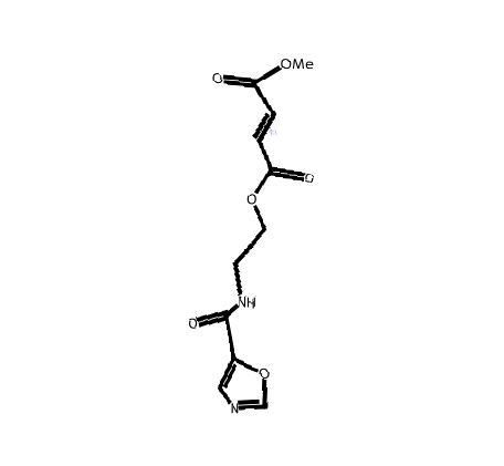 COC(=O)/C=C/C(=O)OCCNC(=O)c1cnco1